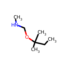 CCC(C)(C)OCNC